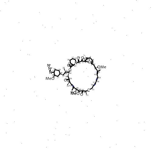 CO[C@H]1C[C@@H]2CC[C@@H](C)[C@@](O)(O2)C(=O)C(=O)N2CCCC[C@H]2C(=O)O[C@H]([C@H](C)C[C@@H]2CCC(N=[N+]=[N-])[C@H](OC)C2)CC(=O)[C@H](C)/C=C(\C)[C@@H](O)[C@@H](OC)C(=O)[C@H](C)CC/C=C/C=C/C=C/1C